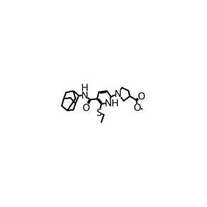 CCSC1=C(C(=O)NC2C3CC4CC(C3)CC2C4)C=CC(N2CCC(C(=O)OC)C2)N1